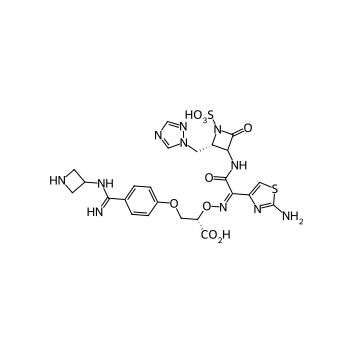 N=C(NC1CNC1)c1ccc(OC[C@H](O/N=C(\C(=O)NC2C(=O)N(S(=O)(=O)O)[C@H]2Cn2cncn2)c2csc(N)n2)C(=O)O)cc1